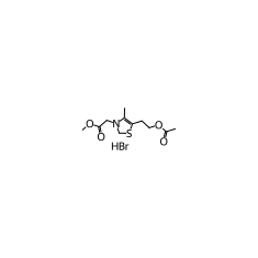 Br.COC(=O)CN1CSC(CCOC(C)=O)=C1C